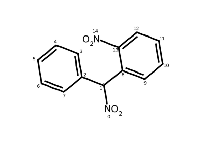 O=[N+]([O-])[C](c1ccccc1)c1ccccc1[N+](=O)[O-]